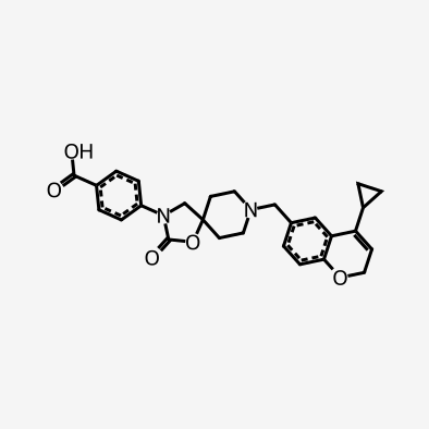 O=C(O)c1ccc(N2CC3(CCN(Cc4ccc5c(c4)C(C4CC4)=CCO5)CC3)OC2=O)cc1